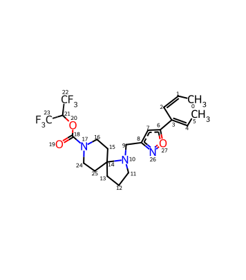 C/C=C\C(=C/C)c1cc(CN2CCCC23CCN(C(=O)OC(C(F)(F)F)C(F)(F)F)CC3)no1